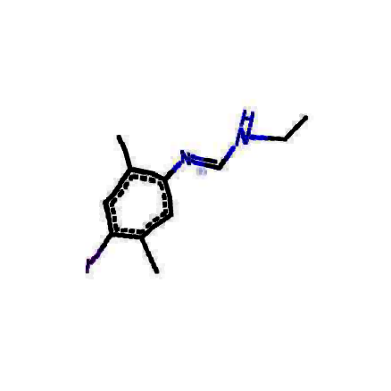 CCN/C=N/c1cc(C)c(I)cc1C